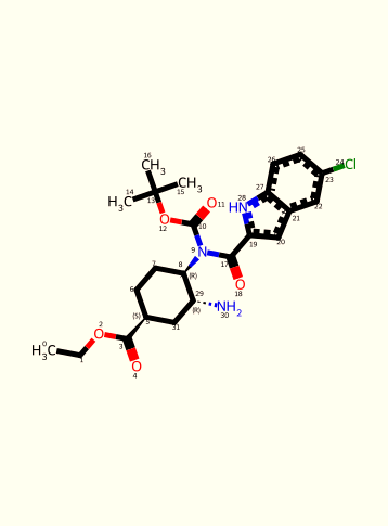 CCOC(=O)[C@H]1CC[C@@H](N(C(=O)OC(C)(C)C)C(=O)c2cc3cc(Cl)ccc3[nH]2)[C@H](N)C1